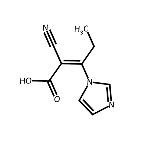 CCC(=C(C#N)C(=O)O)n1ccnc1